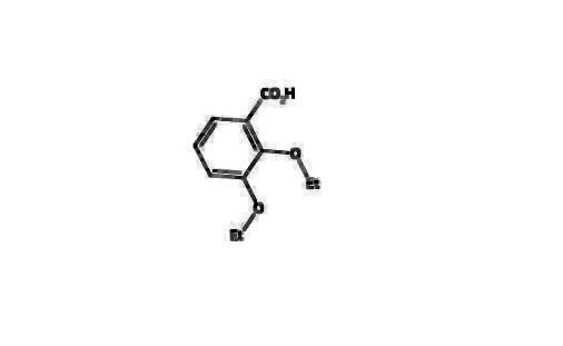 CCOc1cccc(C(=O)O)c1OCC